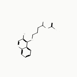 CC(C)(C)C(CCCNc1c(N)cnc2ccccc12)OC(N)=O